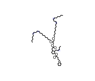 CC/C=C\CC1C(CC(=O)OCC(COCCCCCCCC/C=C\C/C=C\CCCCC)OCCCCCCCC/C=C\C/C=C\CCCCC)CCC1OC(=O)CCCN1CCCC1